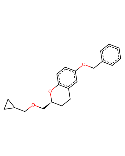 c1ccc(COc2ccc3c(c2)CC[C@@H](COCC2CC2)O3)cc1